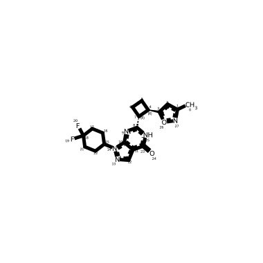 Cc1cc([C@@H]2CC[C@H]2c2nc3c(cnn3C3CCC(F)(F)CC3)c(=O)[nH]2)on1